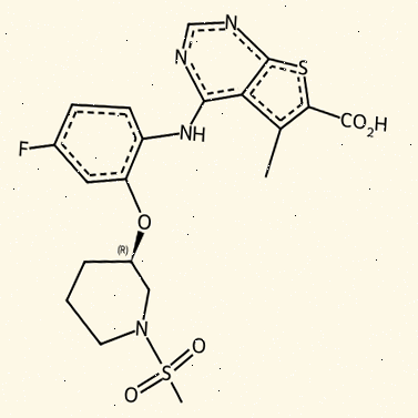 Cc1c(C(=O)O)sc2ncnc(Nc3ccc(F)cc3O[C@@H]3CCCN(S(C)(=O)=O)C3)c12